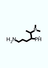 CPC(CCCN)C(C)P(C)C